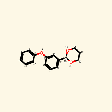 c1ccc(Oc2cccc(B3OCCCO3)c2)cc1